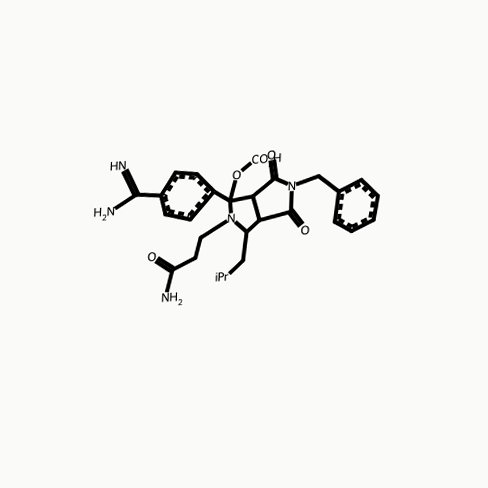 CC(C)CC1C2C(=O)N(Cc3ccccc3)C(=O)C2C(OC(=O)O)(c2ccc(C(=N)N)cc2)N1CCC(N)=O